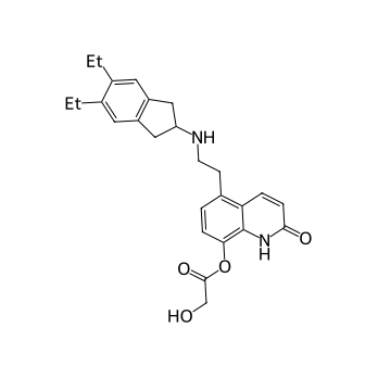 CCc1cc2c(cc1CC)CC(NCCc1ccc(OC(=O)CO)c3[nH]c(=O)ccc13)C2